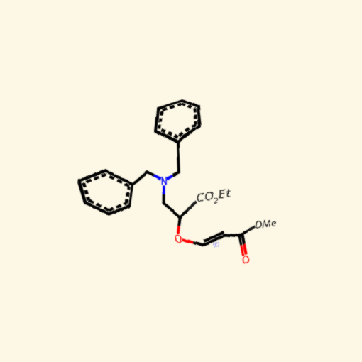 CCOC(=O)C(CN(Cc1ccccc1)Cc1ccccc1)O/C=C/C(=O)OC